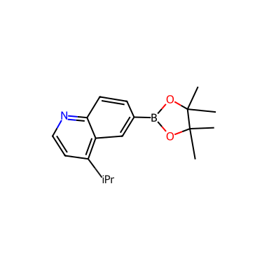 CC(C)c1ccnc2ccc(B3OC(C)(C)C(C)(C)O3)cc12